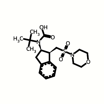 CC(C)(C)N(C(=O)O)[C@@H]1Cc2ccccc2[C@@H]1CS(=O)(=O)N1CCOCC1